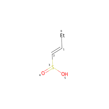 CCC=CS(=O)O